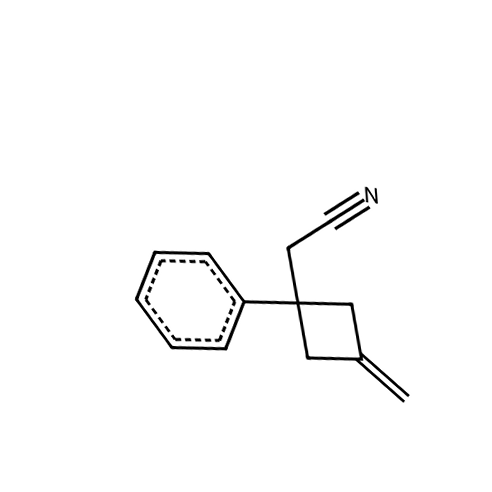 C=C1CC(CC#N)(c2ccccc2)C1